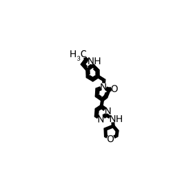 Cc1cc2ccc(Cn3ccc(-c4ccnc(NC5CCOCC5)n4)cc3=O)cc2[nH]1